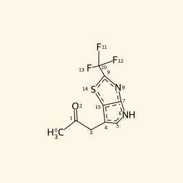 CC(=O)Cc1c[nH]c2nc(C(F)(F)F)sc12